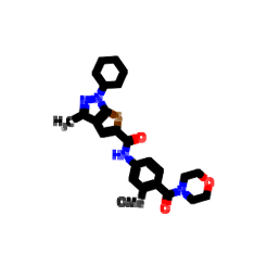 COc1cc(NC(=O)c2cc3c(C)nn(C4CCCCC4)c3s2)ccc1C(=O)N1CCOCC1